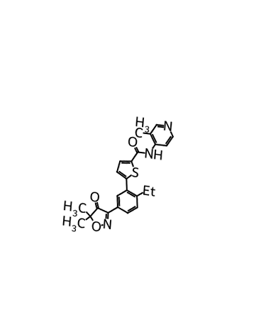 CCc1ccc(C2=NOC(C)(C)C2=O)cc1-c1ccc(C(=O)Nc2ccncc2C)s1